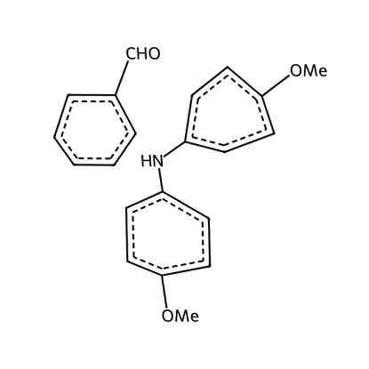 COc1ccc(Nc2ccc(OC)cc2)cc1.O=Cc1ccccc1